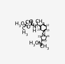 CC(NC(=O)OC(C)(C)C)c1cccc(N2CCC(N(C)C)C2)c1